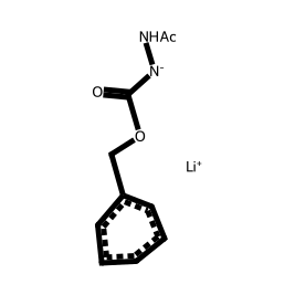 CC(=O)N[N-]C(=O)OCc1ccccc1.[Li+]